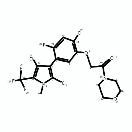 Cn1c(Cl)c(-c2cc(OCC(=O)N3CCOCC3)c(Cl)cc2F)c(Cl)c1C(F)(F)F